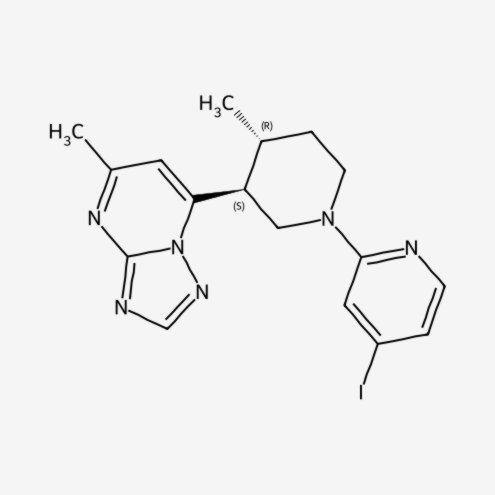 Cc1cc([C@@H]2CN(c3cc(I)ccn3)CC[C@H]2C)n2ncnc2n1